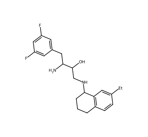 CCc1ccc2c(c1)C(NCC(O)C(N)Cc1cc(F)cc(F)c1)CCC2